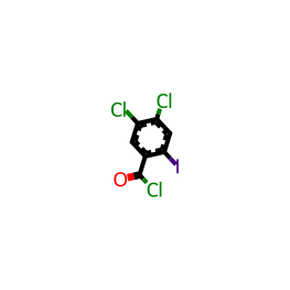 O=C(Cl)c1cc(Cl)c(Cl)cc1I